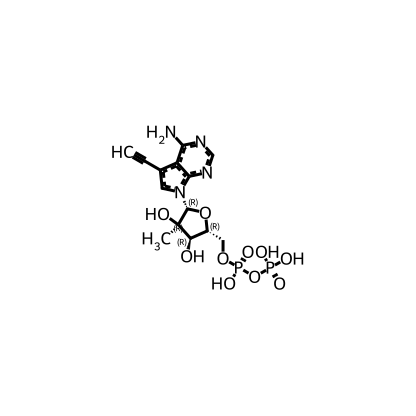 C#Cc1cn([C@@H]2O[C@H](COP(=O)(O)OP(=O)(O)O)[C@@H](O)[C@@]2(C)O)c2ncnc(N)c12